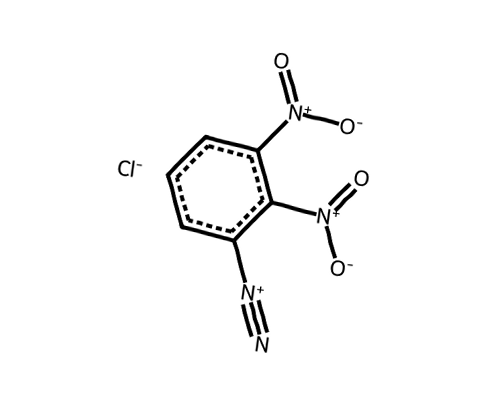 N#[N+]c1cccc([N+](=O)[O-])c1[N+](=O)[O-].[Cl-]